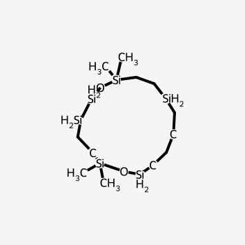 C[Si]1(C)CC[SiH2][SiH2]O[Si](C)(C)CC[SiH2]CCCC[SiH2]O1